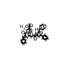 C[C@]1(C(=O)CNC(=O)[C@H](Cc2ccccc2)NC(=O)CNC(=O)[C@H](CCc2ccccc2)NC(=O)CN2CCOCC2)CO1